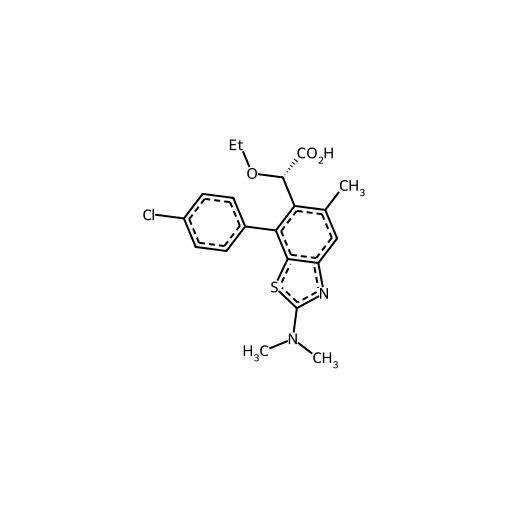 CCO[C@H](C(=O)O)c1c(C)cc2nc(N(C)C)sc2c1-c1ccc(Cl)cc1